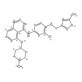 Cc1nc(COc2ccc(Nc3ncnc4cccc(OC5CCN(C)CC5)c34)cc2Cl)co1